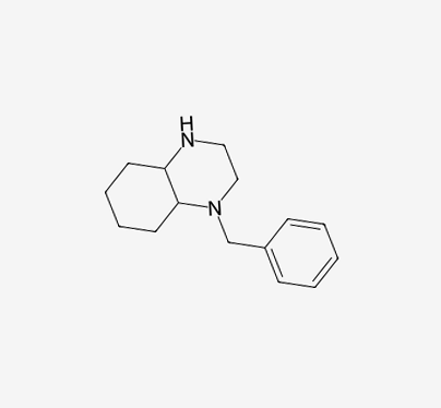 c1ccc(CN2CCNC3CCCCC32)cc1